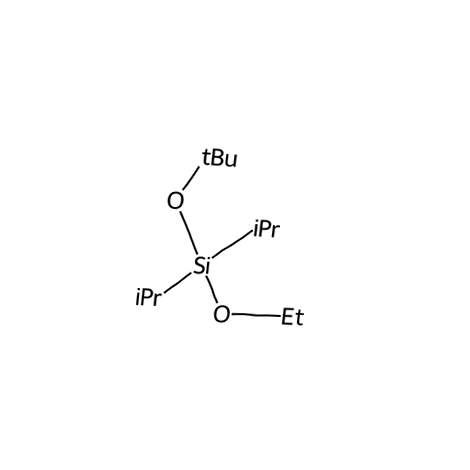 CCO[Si](OC(C)(C)C)(C(C)C)C(C)C